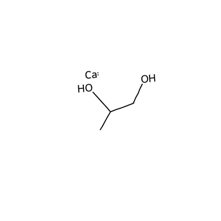 CC(O)CO.[Ca]